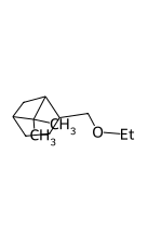 CCOCC1CCC2CC1C2(C)C